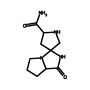 NC(=O)C1CC2(CN1)NC(=O)C1CCCN12